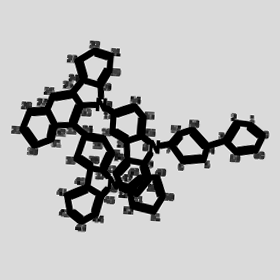 c1ccc(-c2ccc(-n3c4ccccc4c4cc(-n5c6ccccc6c6cc7ccccc7c(-c7ccc8c(c7)c7ccccc7n8-c7ccccc7)c65)ccc43)cc2)cc1